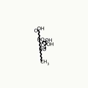 CCCCCCCCCCCCCCCCCC(=O)O.OC[C@H]1OC[C@H](O)[C@@H](O)[C@@H]1O